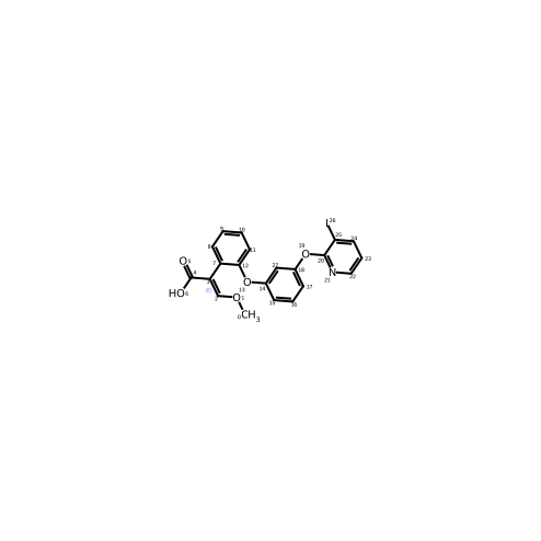 CO/C=C(/C(=O)O)c1ccccc1Oc1cccc(Oc2ncccc2I)c1